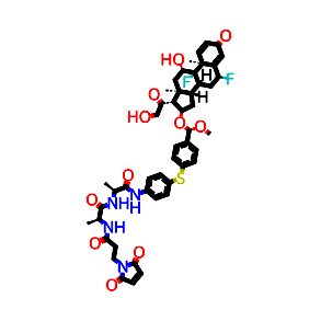 CO[C@H](O[C@@H]1C[C@H]2[C@@H]3C[C@H](F)C4=CC(=O)C=C[C@]4(C)[C@@]3(F)[C@@H](O)C[C@]2(C)[C@H]1C(=O)CO)c1ccc(Sc2ccc(NC(=O)[C@H](C)NC(=O)[C@H](C)NC(=O)CCN3C(=O)C=CC3=O)cc2)cc1